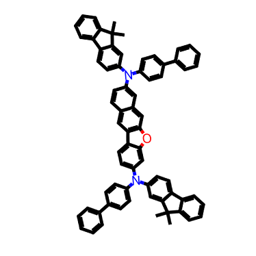 CC1(C)c2ccccc2-c2ccc(N(c3ccc(-c4ccccc4)cc3)c3ccc4cc5c(cc4c3)oc3cc(N(c4ccc(-c6ccccc6)cc4)c4ccc6c(c4)C(C)(C)c4ccccc4-6)ccc35)cc21